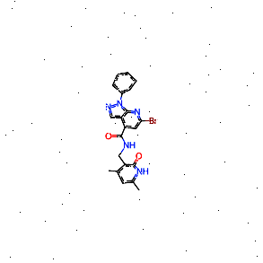 Cc1cc(C)c(CNC(=O)c2cc(Br)nc3c2cnn3-c2ccccc2)c(=O)[nH]1